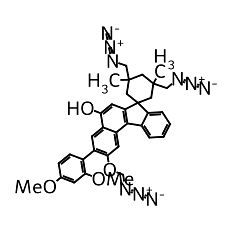 COc1ccc(-c2cc3c(O)cc4c(c3cc2OCN=[N+]=[N-])-c2ccccc2C42CC(C)(CN=[N+]=[N-])CC(C)(CN=[N+]=[N-])C2)c(OC)c1